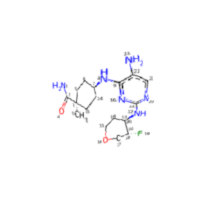 C[C@]1(C(N)=O)CC[C@@H](Nc2nc(N[C@@H]3CCOC[C@H]3F)ncc2N)CC1